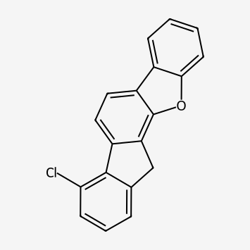 Clc1cccc2c1-c1ccc3c(oc4ccccc43)c1C2